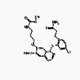 COc1cc2ncnc(Nc3cc(Cl)ccc3CCC(N)=O)c2cc1OCCCNC(=O)OC(C)(C)C